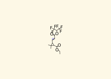 CCOC(=O)C1C(/C=C/C(=O)OC(C(F)(F)F)C(F)(F)F)C1(C)C